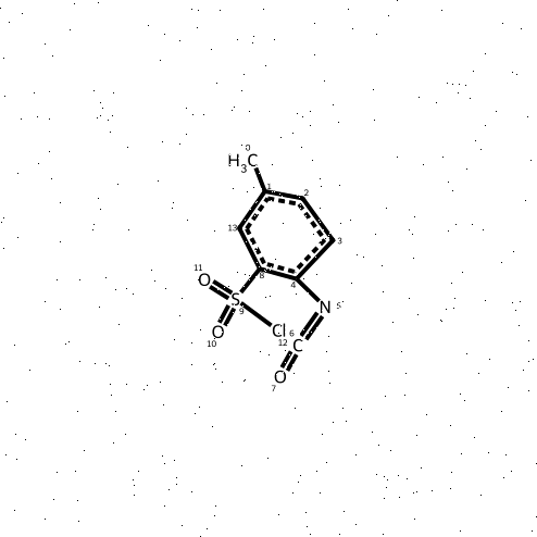 Cc1ccc(N=C=O)c(S(=O)(=O)Cl)c1